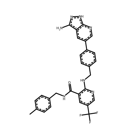 Cc1ccc(CNC(=O)c2cc(C(F)(F)F)cnc2NCc2ccc(-c3cnc4[nH]nc(N)c4c3)cc2)cc1